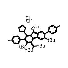 CCCCC(CCCC)=c1c(C(C)(C)C)c(-c2ccc(C)cc2)c(C2=CC=CC2)c2c1=c1cc(C(C)(C)C)c(-c3ccc(C)cc3)cc1=[C]2[Zr+2].[Cl-].[Cl-]